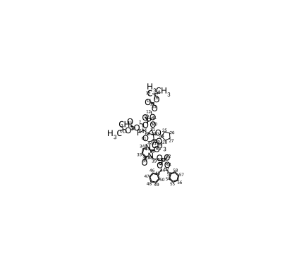 CC(C)OC(=O)OCOP(=O)(OCOC(=O)OC(C)C)O[C@H]1[C@]23OC4(CCCC4)O[C@@]2(C)[C@H](n2ccc(=O)n(COP(=O)(OCc4ccccc4)OCc4ccccc4)c2=O)O[C@]13CF